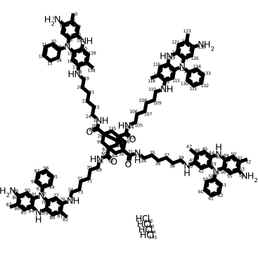 Cc1cc2c(cc1N)N(C1=CC=CCC1)c1cc(NCCCCCCNC(=O)C34CC5(C(=O)NCCCCCCNc6cc7c(cc6C)Nc6cc(C)c(N)cc6N7c6ccccc6)CC(C(=O)NCCCCCCNc6cc7c(cc6C)Nc6cc(C)c(N)cc6N7c6ccccc6)(C3)CC(C(=O)NCCCCCCNc3cc6c(cc3C)Nc3cc(C)c(N)cc3N6c3ccccc3)(C4)C5)c(C)cc1N2.Cl.Cl.Cl.Cl